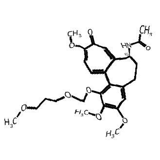 COCCCOCOc1c(OC)c(OC)cc2c1-c1ccc(OC)c(=O)cc1[C@@H](NC(C)=O)CC2